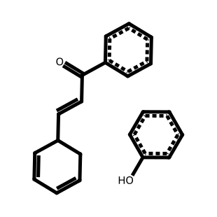 O=C(C=CC1C=CC=CC1)c1ccccc1.Oc1ccccc1